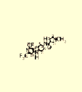 CN1CCC(C(=O)N[C@H]2CC[C@@H](Nc3cc(C(F)(F)F)nc(C(F)(F)F)c3)CC2)C1